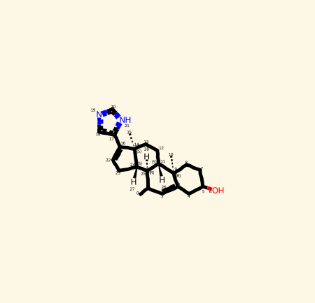 CC1C=C2CC(O)CC[C@]2(C)[C@H]2CC[C@]3(C)C(c4cnc[nH]4)=CC[C@H]3[C@H]12